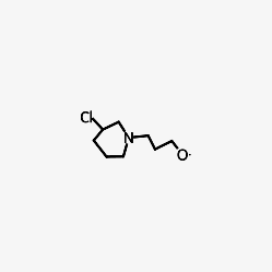 [O]CCCN1CCCC(Cl)C1